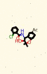 CC(=O)c1ccc2c(c1)[C@H](NC(=O)c1ccccc1Cl)C(O)C(C)(C)O2